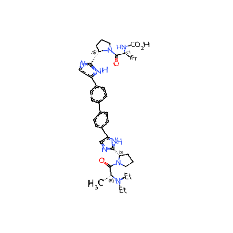 CCN(CC)[C@H](C)C(=O)N1CCC[C@H]1c1ncc(-c2ccc(-c3ccc(-c4cnc([C@@H]5CCCN5C(=O)[C@@H](NC(=O)O)C(C)C)[nH]4)cc3)cc2)[nH]1